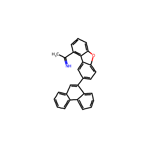 CC(=N)c1cccc2oc3ccc(-c4cc5ccccc5c5ccccc45)cc3c12